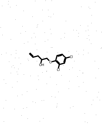 C=CCC(O)COc1ccc(Cl)cc1Cl